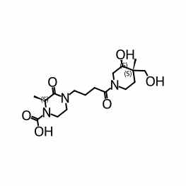 C[C@H]1C(=O)N(CCCC(=O)N2CC[C@@](C)(CO)[C@H](O)C2)CCN1C(=O)O